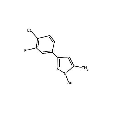 CCc1ccc(-c2cc(C)n(C(C)=O)n2)cc1F